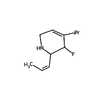 C/C=C\C1NCC=C(C(C)C)C1F